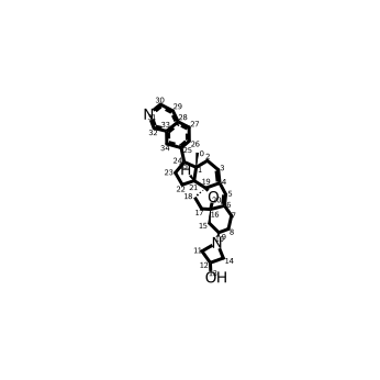 C[C@@]12CC=C3C=C4CC[C@@H](N5CC(O)C5)C[C@]45CC[C@]3(O5)[C@@H]1CCC2c1ccc2ccncc2c1